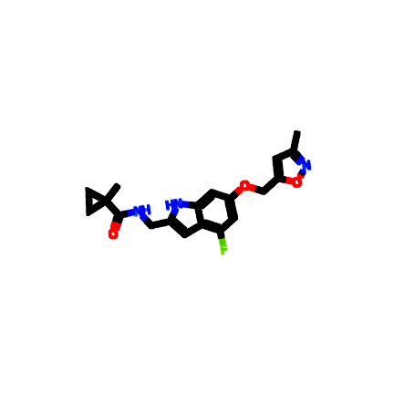 Cc1cc(COc2cc(F)c3cc(CNC(=O)C4(C)CC4)[nH]c3c2)on1